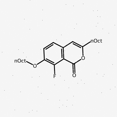 CCCCCCCCOc1ccc2cc(CCCCCCCC)oc(=O)c2c1F